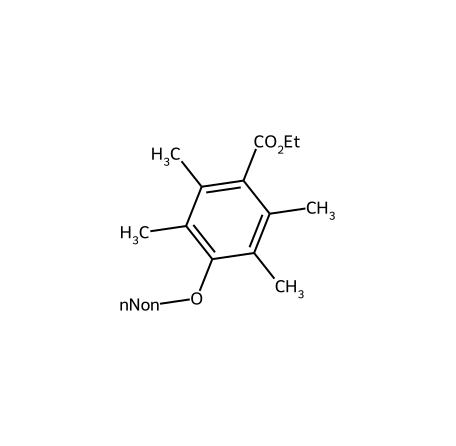 CCCCCCCCCOc1c(C)c(C)c(C(=O)OCC)c(C)c1C